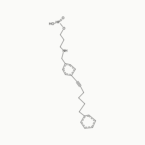 O=[PH](O)OCCCNCc1ccc(C#CCCCCc2ccccc2)cc1